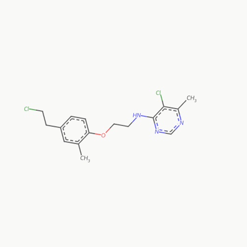 Cc1cc(CCCl)ccc1OCCNc1ncnc(C)c1Cl